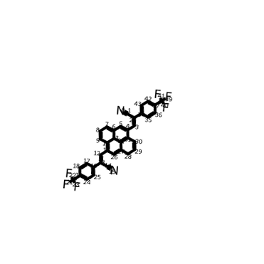 N#C/C(=C\C1=CC2=CC=CC3=C(/C=C(\C#N)c4ccc(C(F)(F)F)cc4)C=C4CC=CC1=C4C23)c1ccc(C(F)(F)F)cc1